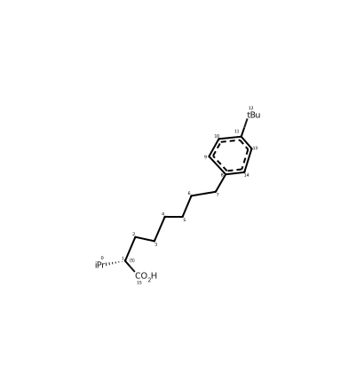 CC(C)[C@H](CCCCCCc1ccc(C(C)(C)C)cc1)C(=O)O